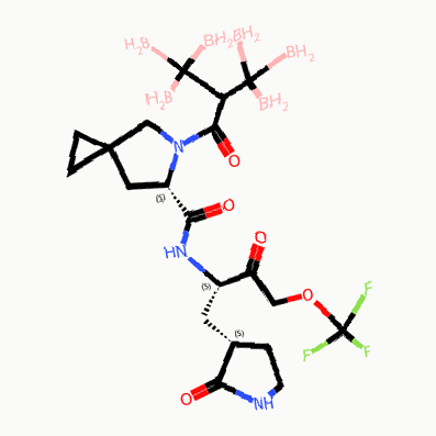 BC(B)(B)C(C(=O)N1CC2(CC2)C[C@H]1C(=O)N[C@@H](C[C@@H]1CCNC1=O)C(=O)COC(F)(F)F)C(B)(B)B